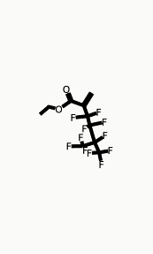 C=C(C(=O)OCC)C(F)(F)C(F)(F)C(F)(C(F)(F)F)C(F)(F)F